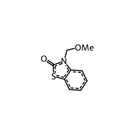 COCn1c(=O)sc2ccccc21